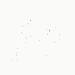 O=C([O-])c1cccc(Cc2cc(Cl)ccc2OCC2CC2)n1.[Na+]